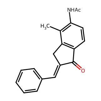 CC(=O)Nc1ccc2c(c1C)CC(=Cc1ccccc1)C2=O